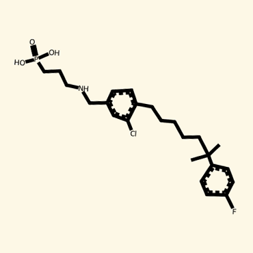 CC(C)(CCCCCc1ccc(CNCCCP(=O)(O)O)cc1Cl)c1ccc(F)cc1